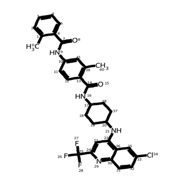 Cc1ccccc1C(=O)Nc1ccc(C(=O)NC2CCC(Nc3cc(C(F)(F)F)nc4ccc(Cl)cc34)CC2)c(C)c1